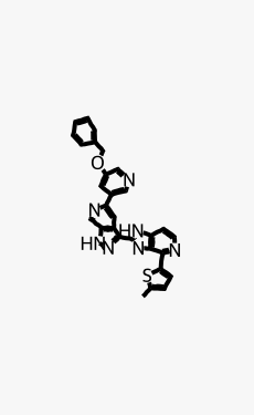 Cc1ccc(-c2nccc3[nH]c(-c4n[nH]c5cnc(-c6cncc(OCc7ccccc7)c6)cc45)nc23)s1